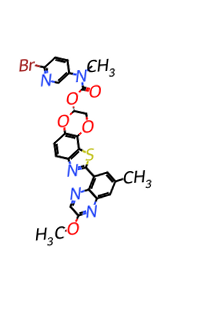 COc1cnc2c(-c3nc4ccc5c(c4s3)OC[C@@H](OC(=O)N(C)c3ccc(Br)nc3)O5)cc(C)cc2n1